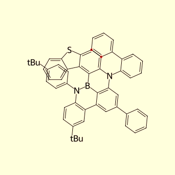 CC(C)(C)c1ccc(N2B3c4c(cc(-c5ccccc5)cc4N(c4ccccc4-c4ccccc4)c4ccc5sc6ccccc6c5c43)-c3cc(C(C)(C)C)ccc32)cc1